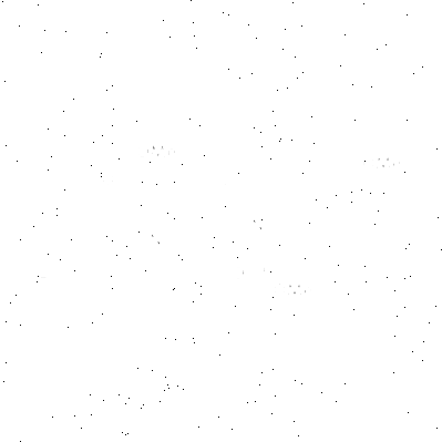 COC(=O)CC(C)N(Cc1ccc(F)cc1)c1ccc(N(CC(=O)OC)SC2=CC=CC(OC)C=C2)c2ccccc12